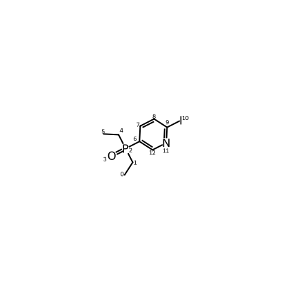 CCP(=O)(CC)c1ccc(I)nc1